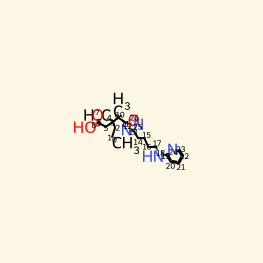 CCCC(C)(CC(=O)O)C(C)c1nc(CCCCNc2ccccn2)no1